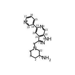 NC1CCCN(Cc2n[nH]c3cnc(-c4cccnc4)cc23)C1